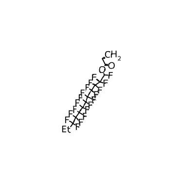 C=CC(=O)OC(F)C(F)(F)C(F)(F)C(F)(F)C(F)(F)C(F)(F)C(F)(F)C(F)(F)C(F)(F)C(F)(F)CC